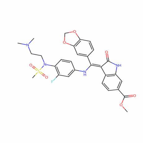 COC(=O)c1ccc2c(c1)NC(=O)C2=C(Nc1ccc(N(CCN(C)C)S(C)(=O)=O)c(F)c1)c1ccc2c(c1)OCO2